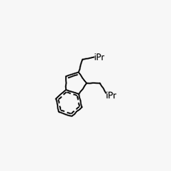 CC(C)CC1=Cc2ccccc2C1CC(C)C